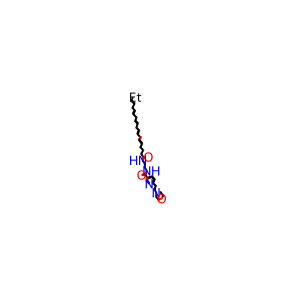 CCC=CCC=CCC=CCC=CCC=CCCCC(=O)NCCNC(=O)c1ccc(CCN2CCOCC2)nc1